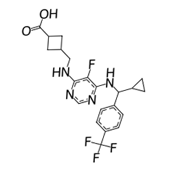 O=C(O)C1CC(CNc2ncnc(NC(c3ccc(C(F)(F)F)cc3)C3CC3)c2F)C1